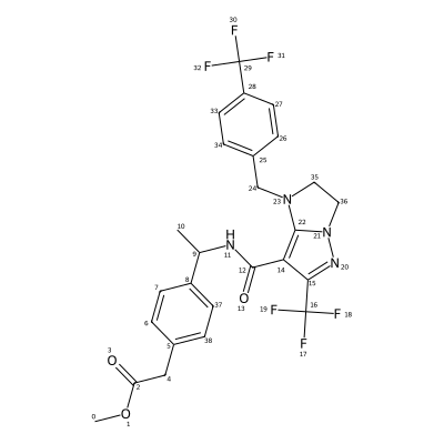 COC(=O)Cc1ccc(C(C)NC(=O)c2c(C(F)(F)F)nn3c2N(Cc2ccc(C(F)(F)F)cc2)CC3)cc1